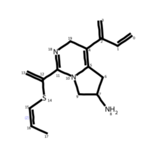 C=CC(=C)C1=C2CC(N)CN2C(C(=C)S/C=C\C)=NC1